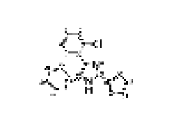 Clc1ccccc1-c1nc(-c2cccs2)[nH]c1-c1ccccc1